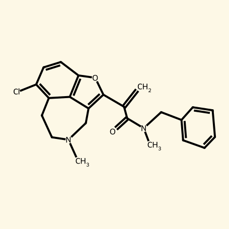 C=C(C(=O)N(C)Cc1ccccc1)c1oc2ccc(Cl)c3c2c1CN(C)CC3